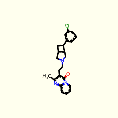 Cc1nc2ccccn2c(=O)c1CCN1CC2CC(c3cccc(Cl)c3)C2C1